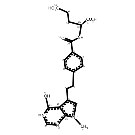 Cn1cc(CCc2ccc(C(=O)N[C@@H](CCC(=O)O)C(=O)O)cc2)c2c(O)ncnc21